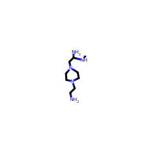 CNC(N)CN1CCN(CCN)CC1